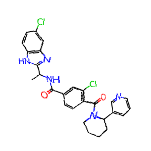 CC(NC(=O)c1ccc(C(=O)N2CCCCC2c2cccnc2)c(Cl)c1)c1nc2cc(Cl)ccc2[nH]1